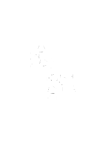 CCCCC1(CCCC)C(=O)Sc2cc(OCC(=O)NC(C(=O)N[C@H](CC[S@+](C)[O-])C(=O)O)c3ccc(O)cc3)c(SC)cc2N(c2ccccc2)C1=O